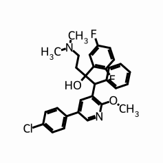 COc1ncc(-c2ccc(Cl)cc2)cc1C(c1ccccc1)C(O)(CCN(C)C)c1cc(F)ccc1F